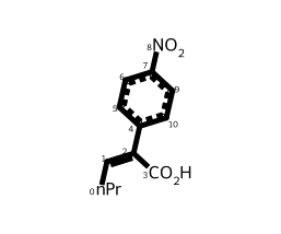 CCC/C=C(\C(=O)O)c1ccc([N+](=O)[O-])cc1